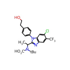 CC(c1nc2cc(C(F)(F)F)c(Cl)cc2n1-c1ccc(CCO)cc1)N(C(=O)O)C(C)(C)C